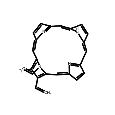 [2H]c1c(C=C)c2cc3nc(cc4ccc(cc5nc(cc1n2C=O)C=C5)[nH]4)C=C3